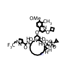 COc1ccc2c(O[C@@H]3C[C@H]4C(=O)N[C@]5(C(=O)NS(=O)(=O)C6CC6)C[C@H]5/C=C\CCCCC[C@H](NC(=O)c5ccn(CC(F)(F)F)n5)C(=O)N4C3)cc(OC3CCC3)nc2c1C